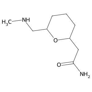 CNCC1CCCC(CC(N)=O)O1